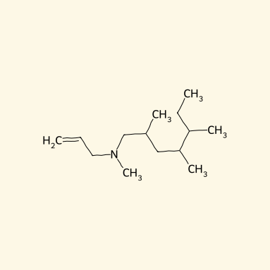 C=CCN(C)CC(C)CC(C)C(C)CC